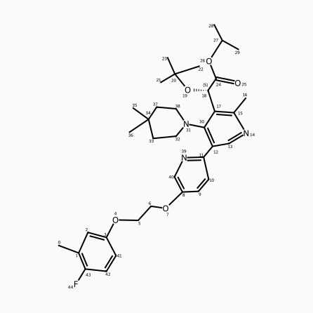 Cc1cc(OCCOc2ccc(-c3cnc(C)c([C@H](OC(C)(C)C)C(=O)OC(C)C)c3N3CCC(C)(C)CC3)nc2)ccc1F